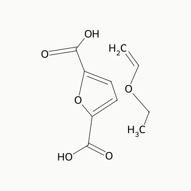 C=COCC.O=C(O)c1ccc(C(=O)O)o1